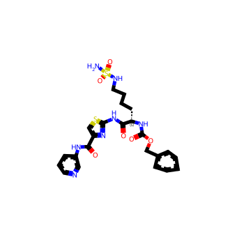 NS(=O)(=O)NCCCC[C@H](NC(=O)OCc1ccccc1)C(=O)Nc1nc(C(=O)Nc2cccnc2)cs1